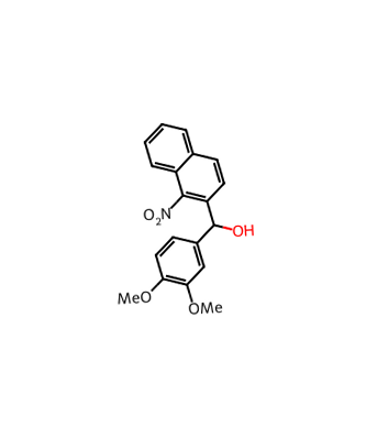 COc1ccc(C(O)c2ccc3ccccc3c2[N+](=O)[O-])cc1OC